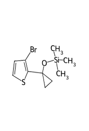 C[Si](C)(C)OC1(c2sccc2Br)CC1